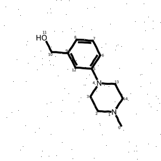 CN1CCN(c2cccc(CO)c2)CC1